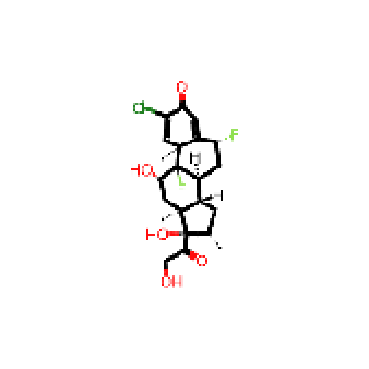 C[C@H]1C[C@H]2[C@@H]3C[C@@H](F)C4=CC(=O)C(Cl)=C[C@]4(C)[C@@]3(F)[C@@H](O)C[C@]2(C)[C@@]1(O)C(=O)CO